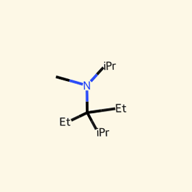 CCC(CC)(C(C)C)N(C)C(C)C